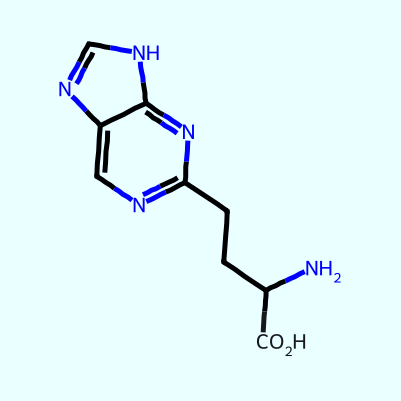 NC(CCc1ncc2nc[nH]c2n1)C(=O)O